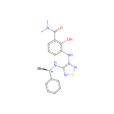 CN(C)C(=O)c1cccc(Nc2nsnc2N[C@@H](c2ccccc2)C(C)(C)C)c1O